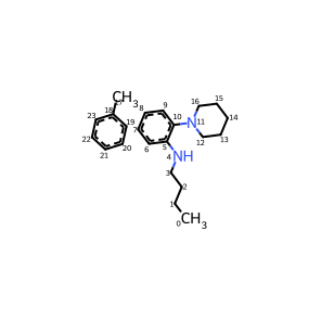 CCCCNc1ccccc1N1CCCCC1.Cc1ccccc1